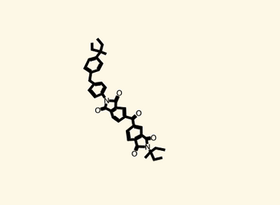 CCC(C)(CC)c1ccc(Cc2ccc(N3C(=O)c4ccc(C(=O)c5ccc6c(c5)C(=O)N(C(C)(CC)CC)C6=O)cc4C3=O)cc2)cc1